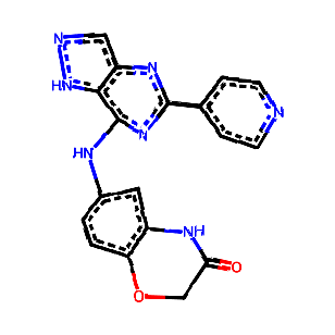 O=C1COc2ccc(Nc3nc(-c4ccncc4)nc4cn[nH]c34)cc2N1